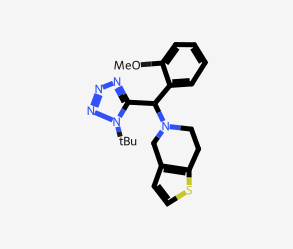 COc1ccccc1C(c1nnnn1C(C)(C)C)N1CCc2sccc2C1